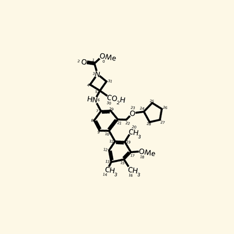 COC(=O)N1CC(Nc2ccc(-c3cc(C)c(C)c(OC)c3C)c(COC3CCCC3)c2)(C(=O)O)C1